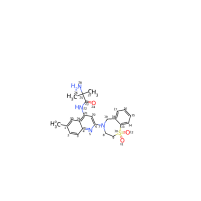 Cc1ccc2nc(N3CCS(=O)(=O)c4ccccc4C3)cc(NC(=O)C(C)(C)N)c2c1